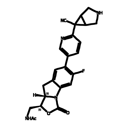 CC(=O)NC[C@@H]1OC(=O)N2c3cc(F)c(-c4ccc(C5(C#N)C6CNCC65)nc4)cc3C[C@@H]12